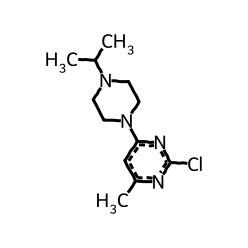 Cc1cc(N2CCN(C(C)C)CC2)nc(Cl)n1